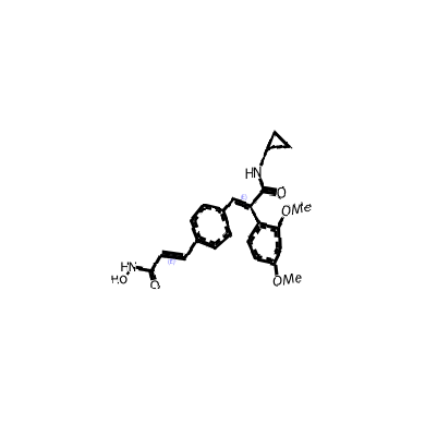 COc1ccc(/C(=C\c2ccc(/C=C/C(=O)NO)cc2)C(=O)NC2CC2)c(OC)c1